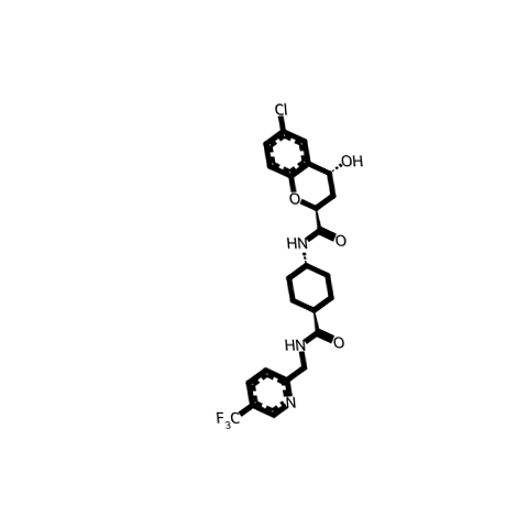 O=C(N[C@H]1CC[C@H](C(=O)NCc2ccc(C(F)(F)F)cn2)CC1)[C@@H]1C[C@@H](O)c2cc(Cl)ccc2O1